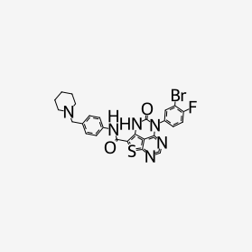 O=C(Nc1ccc(CN2CCCCC2)cc1)c1sc2ncnc3c2c1NC(=O)N3c1ccc(F)c(Br)c1